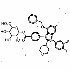 O=C(OC1O[C@H](C(=O)O)[C@@H](O)[C@H](O)[C@H]1O)c1ccc(-c2c(C3CCOCC3)n(-c3ccc(F)c(F)c3)c3cc(F)cc(OCc4ccccc4)c23)cc1